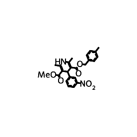 COC(=O)C1=C(C)NC(C)=C(C(=O)OCc2ccc(C)cc2)C1c1cccc([N+](=O)[O-])c1